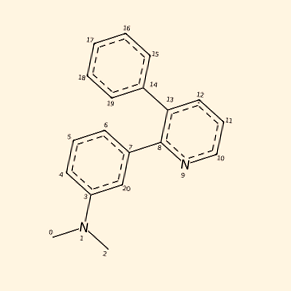 CN(C)c1cccc(-c2ncc[c]c2-c2ccccc2)c1